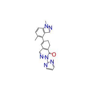 Cc1ccc2c(cnn2C)c1C1=Cc2cnn(-c3ncccn3)c(=O)c2CC1